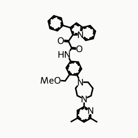 COCc1cc(NC(=O)C(=O)c2c(-c3ccccc3)cc3ccccn23)ccc1N1CCCN(c2cc(C)cc(C)n2)CC1